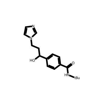 CC(C)(C)NC(=O)c1ccc(C(O)CCn2ccnc2)cc1